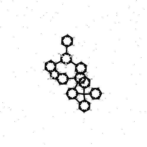 c1ccc(-c2nc(-c3ccccc3)nc(-c3cccc4oc5ccc(-c6ccccc6-c6cccc7c6C(c6ccccc6)(c6ccccc6)c6ccccc6-7)cc5c34)n2)cc1